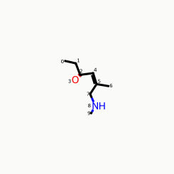 CCC(=O)/C=C(/C)CNC